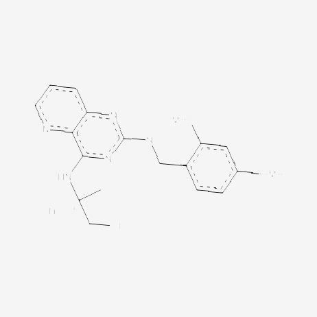 CCC[C@](C)(CO)Nc1nc(NCc2ccc(OC)cc2OC)nc2cccnc12